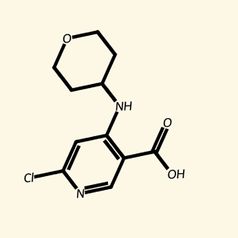 O=C(O)c1cnc(Cl)cc1NC1CCOCC1